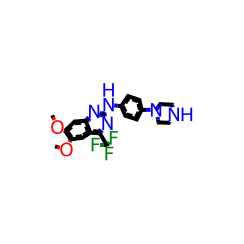 COc1cc2nc(Nc3ccc(N4CCNCC4)cc3)nc(C(F)(F)F)c2cc1OC